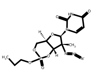 CCCOP1(=O)OC[C@H]2O[C@@H](n3ccc(=O)[nH]c3=O)[C@](C)(N=[N+]=[N-])[C@@H]2O1